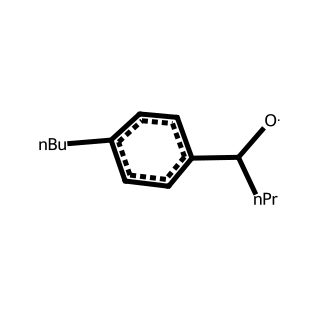 CCCCc1ccc(C([O])CCC)cc1